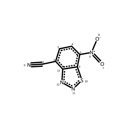 N#Cc1ccc([N+](=O)[O-])c2snnc12